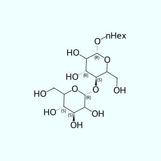 CCCCCCO[C@@H]1OC(CO)[C@@H](O[C@H]2OC(CO)[C@@H](O)[C@H](O)C2O)[C@H](O)C1O